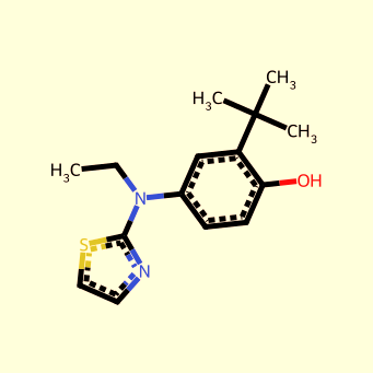 CCN(c1ccc(O)c(C(C)(C)C)c1)c1nccs1